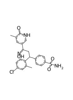 Cc1cc(Cl)ccc1C(C/C(=N\O)c1c[nH]c(=O)c(C)c1)c1ccc(S(N)(=O)=O)cc1